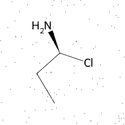 CC[C@@H](N)Cl